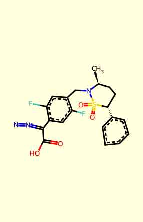 C[C@H]1CC[C@H](c2ccccc2)S(=O)(=O)N1Cc1cc(F)c(C(=[N+]=[N-])C(=O)O)cc1F